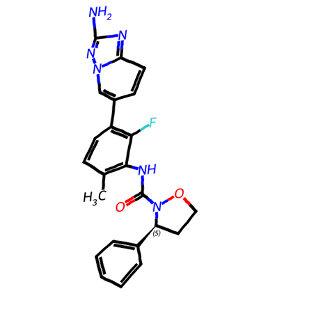 Cc1ccc(-c2ccc3nc(N)nn3c2)c(F)c1NC(=O)N1OCC[C@H]1c1ccccc1